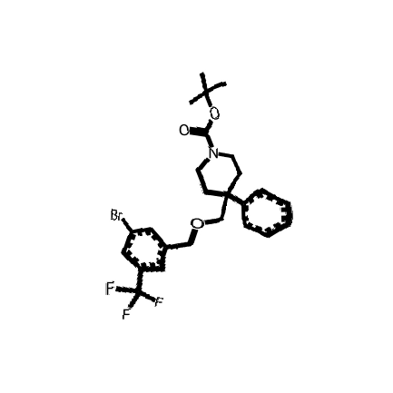 CC(C)(C)OC(=O)N1CCC(COCc2cc(Br)cc(C(F)(F)F)c2)(c2ccccc2)CC1